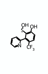 OSc1c(O)ccc(C(F)(F)F)c1-c1ccccn1